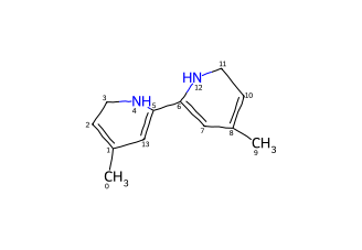 CC1=CCNC(C2=CC(C)=CCN2)=C1